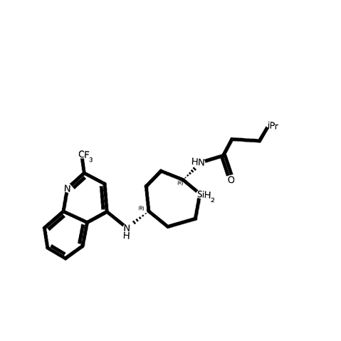 CC(C)CCC(=O)N[C@H]1CC[C@@H](Nc2cc(C(F)(F)F)nc3ccccc23)CC[SiH2]1